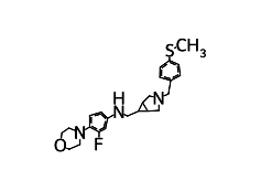 CSc1ccc(CN2CC3C(CNc4ccc(N5CCOCC5)c(F)c4)C3C2)cc1